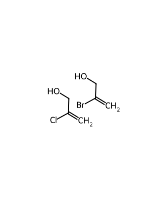 C=C(Br)CO.C=C(Cl)CO